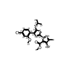 COC(=O)c1c(Br)c(C)nn1-c1nc(-c2ccc(Cl)cc2OC)c(SC(C)C)s1